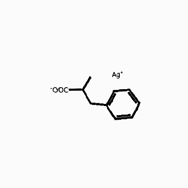 CC(Cc1ccccc1)C(=O)[O-].[Ag+]